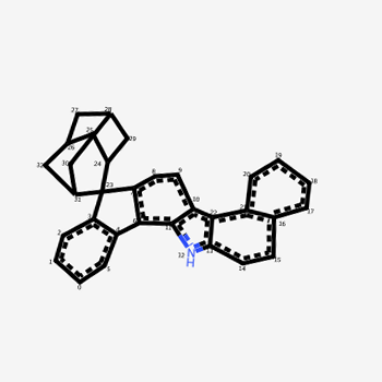 c1ccc2c(c1)-c1c(ccc3c1[nH]c1ccc4ccccc4c13)C21C2CC3CC(C2)CC1C3